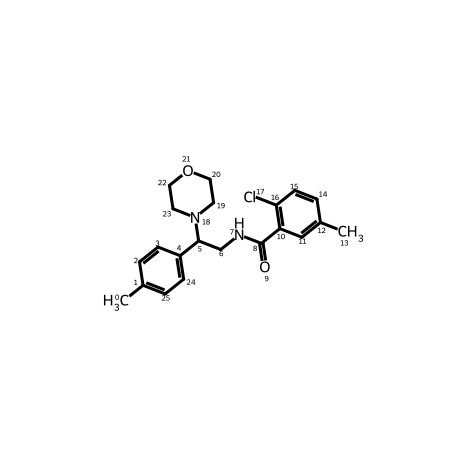 Cc1ccc(C(CNC(=O)c2cc(C)ccc2Cl)N2CCOCC2)cc1